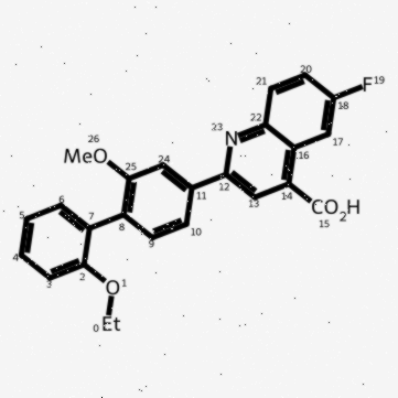 CCOc1ccccc1-c1ccc(-c2cc(C(=O)O)c3cc(F)ccc3n2)cc1OC